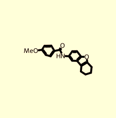 COc1ccc(C(=O)Nc2ccc3oc4c(c3c2)CCCC4)cc1